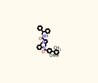 COc1cc(C(=O)N2Cc3ccc(C(=O)NCC(c4ccccc4)c4ccccc4)n3Cc3ccccc32)ccc1-c1ccccc1C